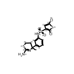 CC1(c2cccc(NS(=O)(=O)c3cc(Cl)sc3Cl)c2)CCSC(N)=N1